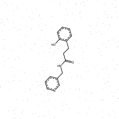 O=C(CCc1ccccc1O)NCc1cccnc1